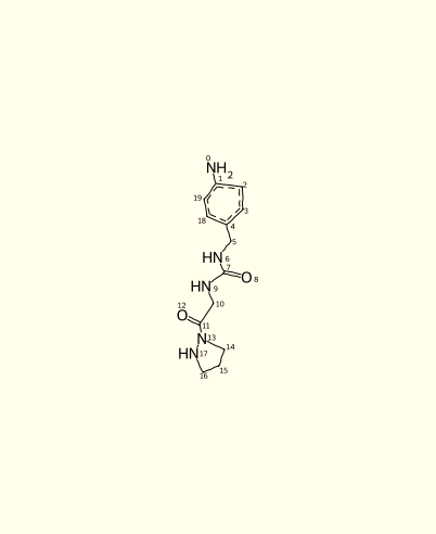 Nc1ccc(CNC(=O)NCC(=O)N2CCCN2)cc1